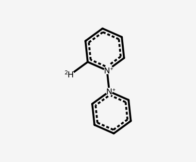 [2H]c1cccc[n+]1-[n+]1ccccc1